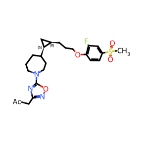 CC(=O)Cc1noc(N2CCCC([C@H]3C[C@H]3CCCOc3ccc(S(C)(=O)=O)cc3F)CC2)n1